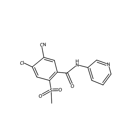 CS(=O)(=O)c1cc(Cl)c(C#N)cc1C(=O)Nc1cccnc1